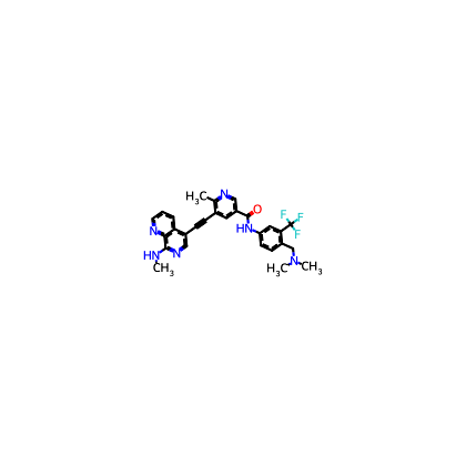 CNc1ncc(C#Cc2cc(C(=O)Nc3ccc(CN(C)C)c(C(F)(F)F)c3)cnc2C)c2cccnc12